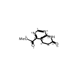 COC(=O)c1ncnc2c1CCC(=O)N2